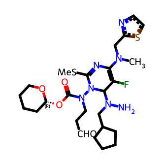 CSC1=NC(N(C)Cc2nccs2)=C(F)C(N(N)CC2CCCC2)N1N(CCC=O)C(=O)O[C@@H]1CCCCO1